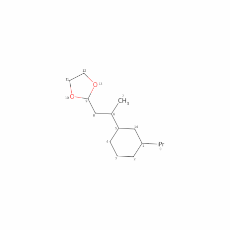 CC(C)C1CCCC(C(C)CC2OCCO2)C1